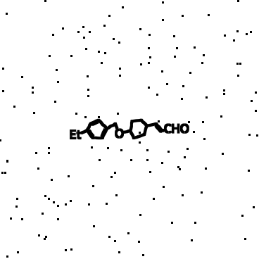 CCc1ccc(COC2CCC(C=CC=O)CC2)cc1